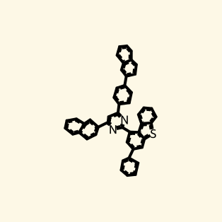 c1ccc(-c2cc(-c3nc(-c4ccc(-c5ccc6ccccc6c5)cc4)cc(-c4ccc5ccccc5c4)n3)c3c(c2)sc2ccccc23)cc1